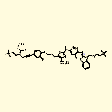 CCOC(=O)c1nc(N(C)c2cc(C)c(/N=c3\sc4ccccc4n3COCC[Si](C)(C)C)nn2)sc1CCCOc1ccc(C#CCN(CC[N+](C)(C)C)C(=O)OC(C)(C)C)cc1F